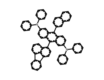 c1ccc(N(c2ccccc2)c2ccc3c(-c4ccc5c6c(cccc46)-c4ccccc4-5)c4cc(N(c5ccccc5)c5ccccc5)ccc4c(-c4ccc5ccccc5c4)c3c2)cc1